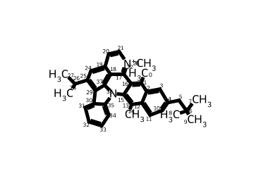 Cc1c2cc(CC(C)(C)C)ccc2c(C)c2c1c1c3c(cc[n+]1C)cc(C(C)C)c1c4ccccc4n2c13